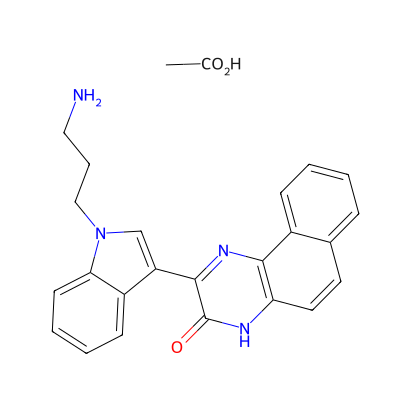 CC(=O)O.NCCCn1cc(-c2nc3c(ccc4ccccc43)[nH]c2=O)c2ccccc21